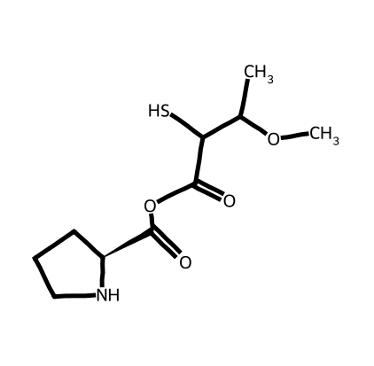 COC(C)C(S)C(=O)OC(=O)[C@@H]1CCCN1